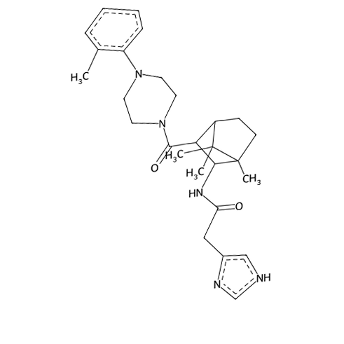 Cc1ccccc1N1CCN(C(=O)C2C3CCC(C)(C2NC(=O)Cc2c[nH]cn2)C3(C)C)CC1